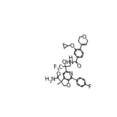 C[C@]1(C(N)=O)COc2c1cc(C(O)(CNC(=O)c1ccc(C3=CCOCC3)c(OC3CC3)c1)C(F)(F)F)nc2-c1ccc(F)cc1